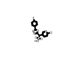 O=S(=O)(O)C(c1ccc(Cl)nc1)c1nnc(-c2ccc(F)cc2)o1